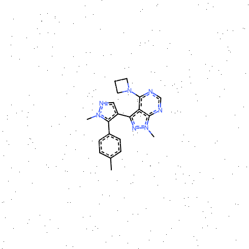 Cc1ccc(-c2c(-c3nn(C)c4ncnc(N5CCC5)c34)cnn2C)cc1